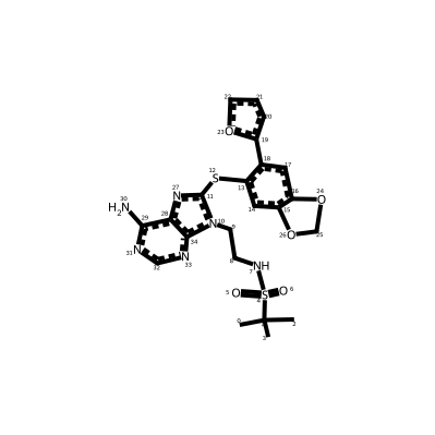 CC(C)(C)S(=O)(=O)NCCn1c(Sc2cc3c(cc2-c2ccco2)OCO3)nc2c(N)ncnc21